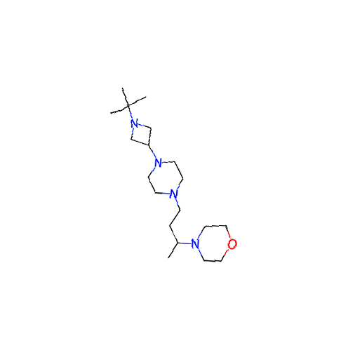 CC(CCN1CCN(C2CN(C(C)(C)C)C2)CC1)N1CCOCC1